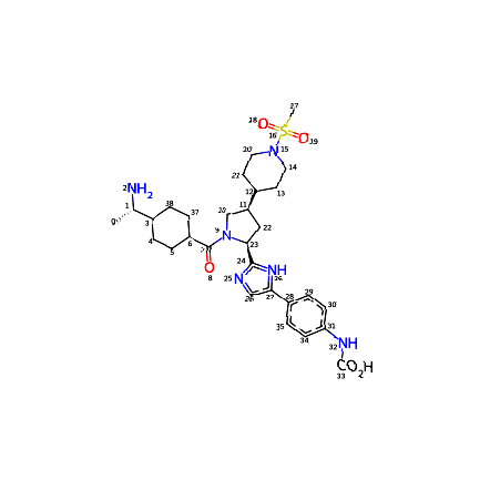 C[C@H](N)C1CCC(C(=O)N2C[C@@H](C3CCN(S(C)(=O)=O)CC3)C[C@H]2c2ncc(-c3ccc(NC(=O)O)cc3)[nH]2)CC1